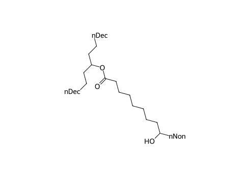 CCCCCCCCCCCCC(CCCCCCCCCCCC)OC(=O)CCCCCCCC(O)CCCCCCCCC